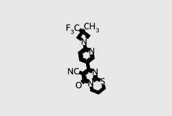 CC1(C(F)(F)F)CN(c2ccc(-c3nc4n(c(=O)c3C#N)CCCS4)cn2)C1